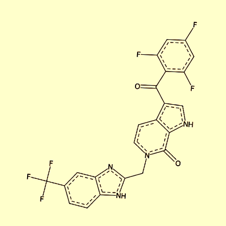 O=C(c1c(F)cc(F)cc1F)c1c[nH]c2c(=O)n(Cc3nc4cc(C(F)(F)F)ccc4[nH]3)ccc12